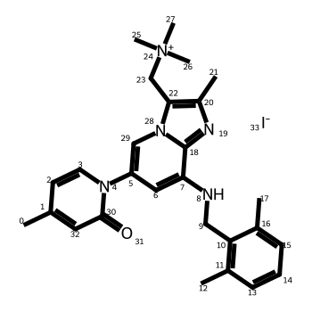 Cc1ccn(-c2cc(NCc3c(C)cccc3C)c3nc(C)c(C[N+](C)(C)C)n3c2)c(=O)c1.[I-]